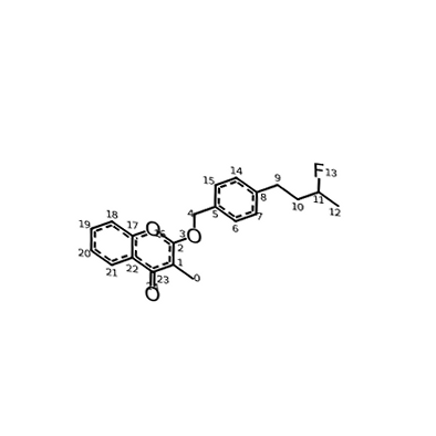 Cc1c(OCc2ccc(CCC(C)F)cc2)oc2ccccc2c1=O